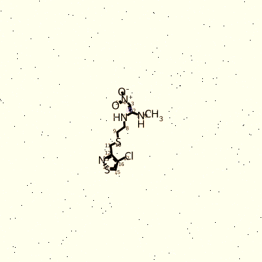 CN/C(=C/[N+](=O)[O-])NCCSCc1nscc1Cl